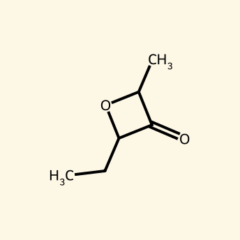 CCC1OC(C)C1=O